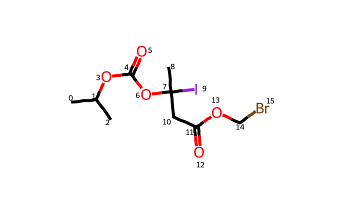 CC(C)OC(=O)OC(C)(I)CC(=O)OCBr